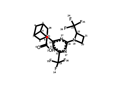 O=C(O)CC1C2CC1CN(c1cc(C(F)(F)F)nc(N3CCC3C(F)(F)F)n1)C2